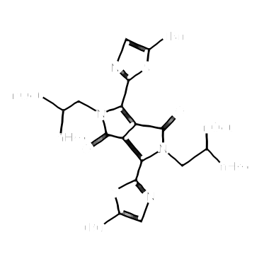 CCCCCCCCC(CCCCCC)CN1C(=O)C2=C(c3ncc(C(C)(C)C)s3)N(CC(CCCCCC)CCCCCCCC)C(=O)C2=C1c1ncc(C(C)(C)C)s1